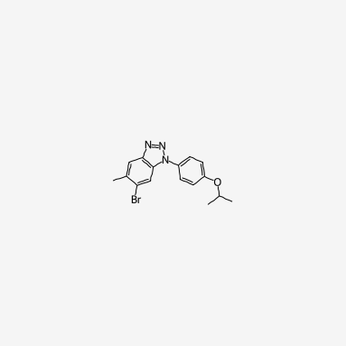 Cc1cc2nnn(-c3ccc(OC(C)C)cc3)c2cc1Br